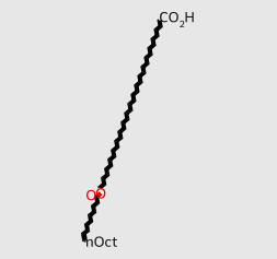 CCCCCCCC/C=C\CCCCCCCC(=O)OCCCCCCCCCCCCCCCCCCCCCCCCCCCCCCCCCCCCCC(=O)O